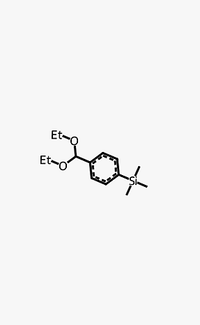 CCOC(OCC)c1ccc([Si](C)(C)C)cc1